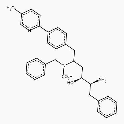 Cc1ccc(-c2ccc(CC(C[C@H](O)[C@@H](N)Cc3ccccc3)N(Cc3ccccc3)C(=O)O)cc2)nc1